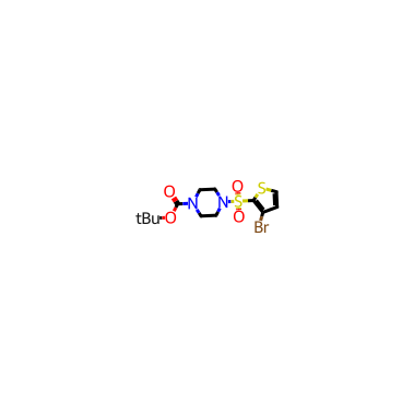 CC(C)(C)OC(=O)N1CCN(S(=O)(=O)c2sccc2Br)CC1